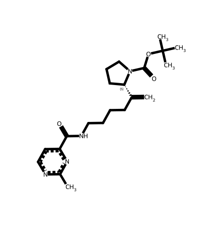 C=C(CCCCNC(=O)c1ccnc(C)n1)[C@@H]1CCCN1C(=O)OC(C)(C)C